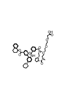 CN(CCN1CCC[C@H]1C(=O)N(C)CCOCCOCCOCCC(=O)O)C(=O)c1cccc(C(=O)Nc2ccc(N3CCCCC3)cc2-c2cc(C(=O)O[C@H]3CCCc4ccccc43)ccn2)c1